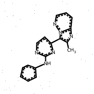 Cc1nc2cccnn2c1-c1ccnc(Nc2ccccc2)n1